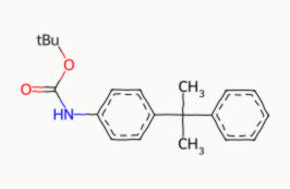 CC(C)(C)OC(=O)Nc1ccc(C(C)(C)c2ccccc2)cc1